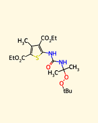 CCOC(=O)c1sc(NC(=O)NC(C)(C)OOC(C)(C)C)c(C(=O)OCC)c1C